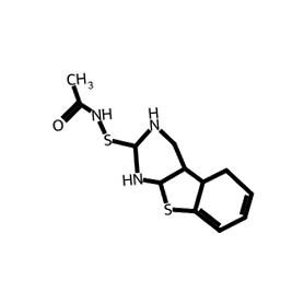 CC(=O)NSC1NCC2C(N1)SC1=CC=CCC12